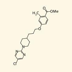 COC(=O)c1ccc(OCCCC2CCN(c3ncc(Cl)cn3)CC2)cc1C